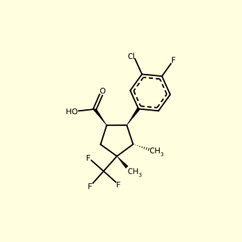 C[C@H]1[C@H](c2ccc(F)c(Cl)c2)[C@H](C(=O)O)C[C@@]1(C)C(F)(F)F